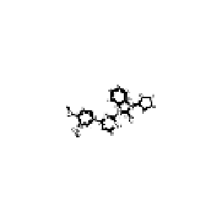 COc1ccc(-c2ccnc(-n3c(=O)n(C4CCCC4)c4ccccc43)n2)cc1OC